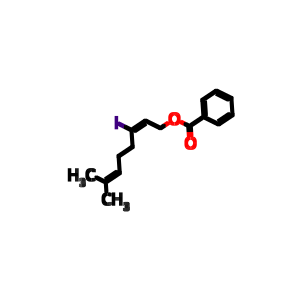 CC(C)=CCC/C(I)=C\COC(=O)c1ccccc1